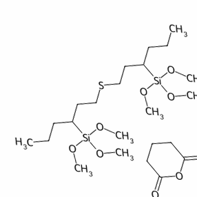 CCCC(CCSCCC(CCC)[Si](OC)(OC)OC)[Si](OC)(OC)OC.O=C1CCCC(=O)O1